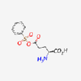 N[C@@H](CCC(=O)OS(=O)(=O)c1ccccc1)C(=O)O